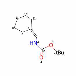 CC(C)(C)OC(=O)NC=C1CCCCC1